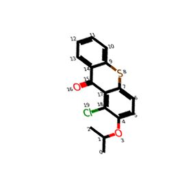 CC(C)Oc1ccc2sc3ccccc3c(=O)c2c1Cl